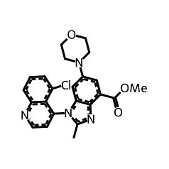 COC(=O)c1cc(N2CCOCC2)cc2c1nc(C)n2-c1ccnc2cccc(Cl)c12